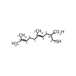 CC(C)=CCC/C(C)=C/CC(CS)C(=O)O